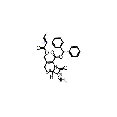 C/C=C/C(=O)OCC1=C(C(=O)OC(c2ccccc2)c2ccccc2)N2C(=O)[C@@H](N)[C@@H]2SC1